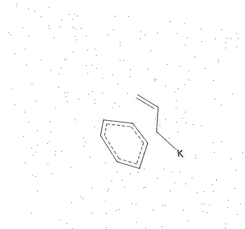 C=C[CH2][K].c1ccccc1